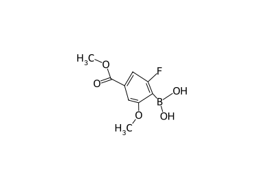 COC(=O)c1cc(F)c(B(O)O)c(OC)c1